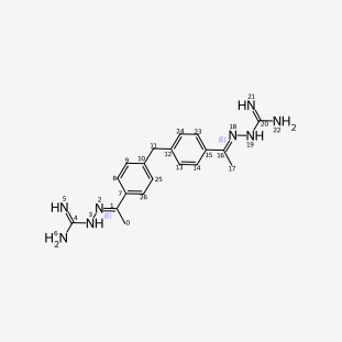 C/C(=N\NC(=N)N)c1ccc(Cc2ccc(/C(C)=N/NC(=N)N)cc2)cc1